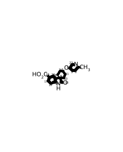 Cc1ccc(O[C@H]2CC[C@@]3(CC2)C(=O)Nc2ccc(C(=O)O)cc23)cn1